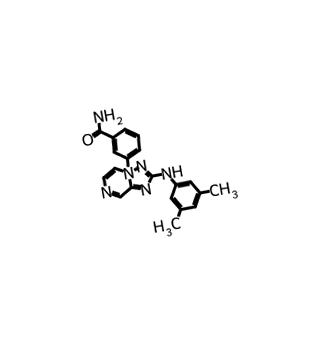 Cc1cc(C)cc(NC2=N[N+]3(c4cccc(C(N)=O)c4)C=CN=CC3=N2)c1